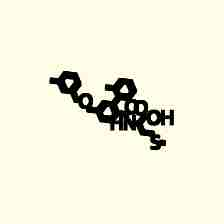 CSCCC(NC(=O)c1ccc(COCc2cccc(C)c2)cc1-c1ccccc1C)C(=O)O